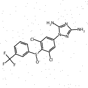 Nc1nc(N)n(-c2cc(Cl)c([S+]([O-])c3cccc(C(F)(F)F)c3)c(Cl)c2)n1